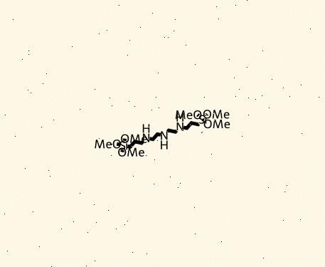 CO[Si](CCCNCCNCCNCCC[Si](OC)(OC)OC)(OC)OC